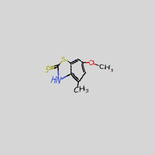 COc1cc(C)c2[nH]c(=S)sc2c1